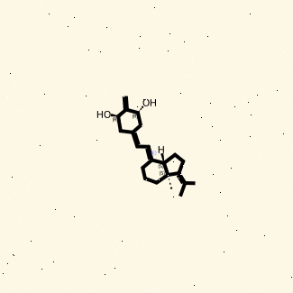 C=C1[C@H](O)CC(=C/C=C2\CCC[C@]3(C)C(=C(C)C)CC[C@@H]23)C[C@H]1O